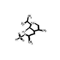 CCC(C)C(CC(C)OS(=O)(=O)O)C(C)CC(C)C